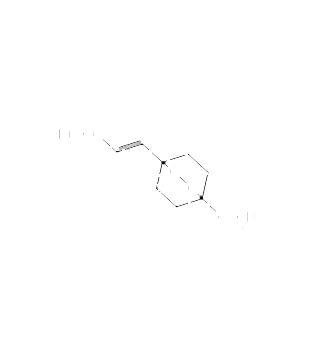 CCOC(=O)/C=C/C12CCC(C(=O)O)(CC1)CC2